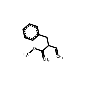 C=CC(Cc1ccccc1)C(=C)OC